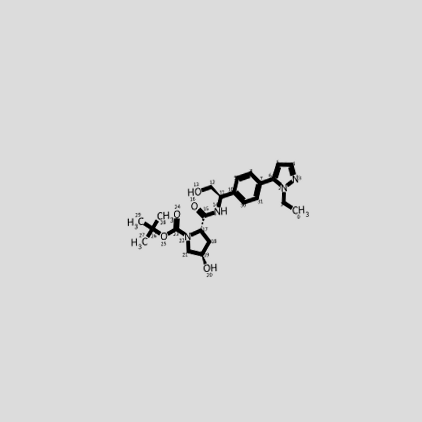 CCn1nccc1-c1ccc([C@H](CO)NC(=O)[C@@H]2C[C@@H](O)CN2C(=O)OC(C)(C)C)cc1